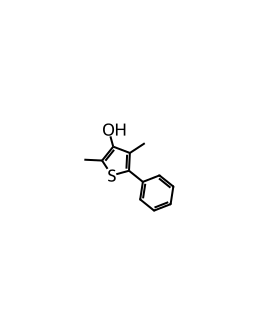 Cc1sc(-c2ccccc2)c(C)c1O